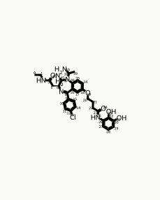 CCNC(=O)C[C@@H]1N=C(c2ccc(Cl)cc2)c2cc(OCCCC(=O)Nc3cccc(O)c3O)ccc2N(C(C)N)C1N